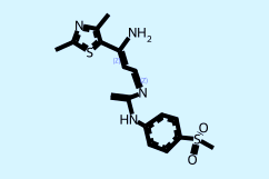 C=C(/N=C\C=C(/N)c1sc(C)nc1C)Nc1ccc(S(C)(=O)=O)cc1